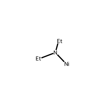 CC[N]([Ni])CC